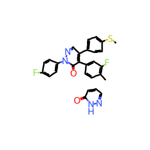 CSc1ccc(-c2cnn(-c3ccc(F)cc3)c(=O)c2-c2ccc(C)c(F)c2)cc1.O=c1cccn[nH]1